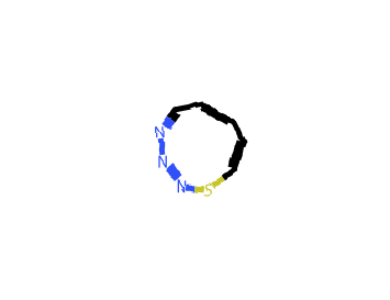 c1ccnnnscc1